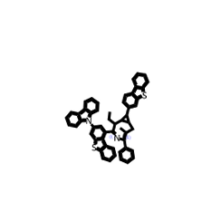 CCC1/C(c2cc(-n3c4ccccc4c4ccccc43)cc3sc4ccccc4c23)=N\C(c2ccccc2)=C(/C)CC2C(c3ccc4c(c3)sc3ccccc34)C12